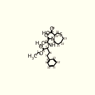 CCOC(=O)C(CCc1ccccc1)N[C@@H](C)C(=O)N1CCCCSCC1C(=O)O